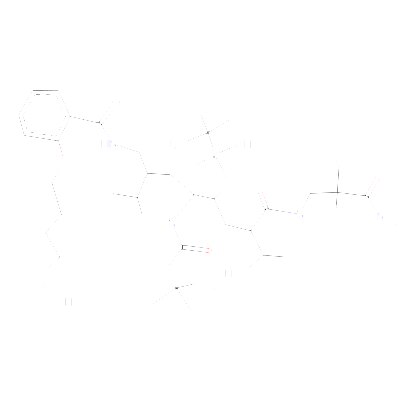 COCCCCOc1ccccc1C(=O)NCC(CC(NC(=O)OC(C)(C)C)C(CC(C(=O)NCC(C)(C)C(N)=O)C(C)C)O[Si](C)(C)C(C)(C)C)C(C)C